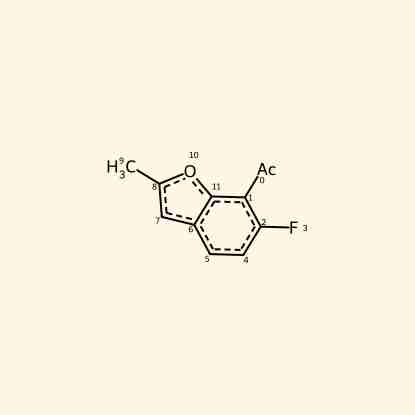 CC(=O)c1c(F)ccc2cc(C)oc12